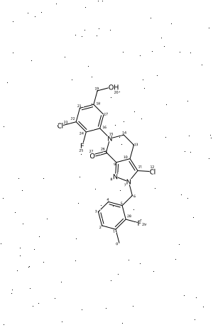 Cc1cccc(Cn2nc3c(c2Cl)CCN(c2cc(CO)cc(Cl)c2F)C3=O)c1F